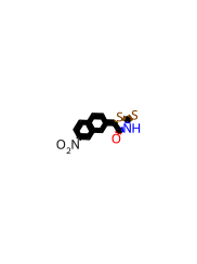 O=C1NC(=S)SC1=C1C=Cc2ccc([N+](=O)[O-])cc2C1